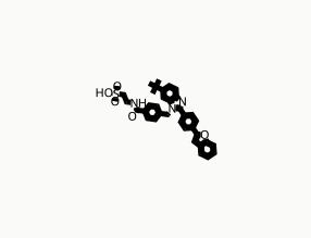 CC(C)(C)c1ccc2nc(-c3ccc(-c4cc5ccccc5o4)cc3)n(Cc3ccc(C(=O)NCCS(=O)(=O)O)cc3)c2c1